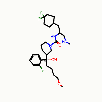 CNCC(CC1CCC(F)(F)CC1)NC(=O)N1CCCC([C@@](O)(CCCCOC)c2ccccc2F)C1